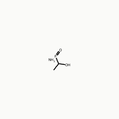 CC(O)P=O.N